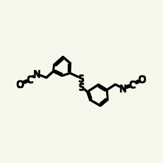 O=C=NCc1cccc(SSc2cccc(CN=C=O)c2)c1